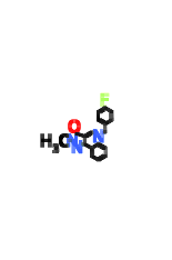 Cn1nc2c3ccccc3n(Cc3ccc(F)cc3)cc-2c1=O